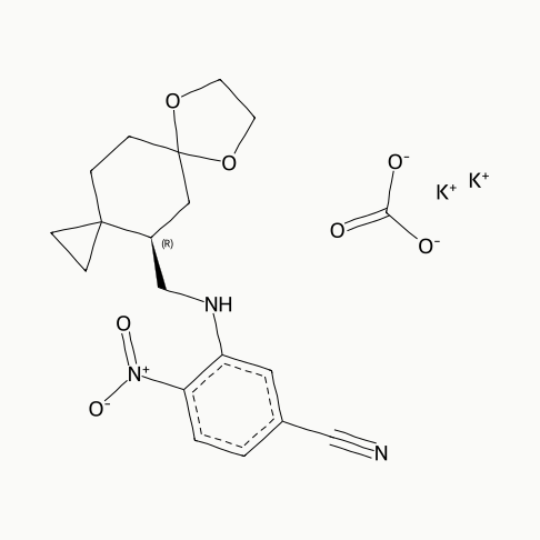 N#Cc1ccc([N+](=O)[O-])c(NC[C@@H]2CC3(CCC24CC4)OCCO3)c1.O=C([O-])[O-].[K+].[K+]